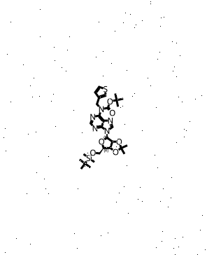 CC(C)(C)OC(=O)N(Cc1ccsc1)c1ncnc2c1ncn2[C@@H]1O[C@H](CO[Si](C)(C)C(C)(C)C)C2OC(C)(C)OC21